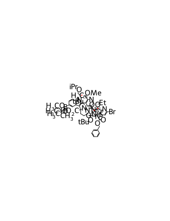 CCO[C@H](c1nc(Br)cs1)[C@H](NC(=O)OC(C)(C)C)C(=O)N1CCCC(C(=O)O)(c2c(-c3cc(N4CCN(C(=O)OCc5ccccc5)CC4)cnc3[C@H](C)OC)n(CCOC(C)C)c3ccc(B4OC(C)(C)C(C)(C)O4)cc23)N1CC(C)(C)C